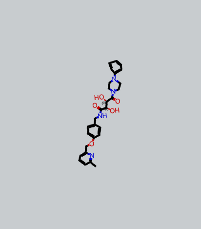 Cc1cccc(COc2ccc(CNC(=O)[C@H](O)[C@@H](O)C(=O)N3CCN(c4ccccc4)CC3)cc2)n1